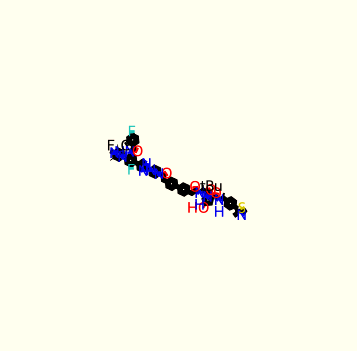 Cc1ncsc1-c1ccc([C@H](C)NC(=O)[C@@H]2C[C@@H](O)CN2C(=O)[C@@H](NC(=O)Cc2ccc(-c3ccc(CC(=O)N4CCN(c5ncc(-c6cc(NC(=O)c7ccc(F)cc7C(F)(F)F)c(N7C[C@@H](C)N(C)[C@@H](C)C7)cc6F)cn5)CC4)cc3)cc2)C(C)(C)C)cc1